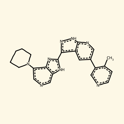 Cc1ccncc1-c1cnc2[nH]nc(-c3nc4c(N5CCCCC5)cncc4[nH]3)c2c1